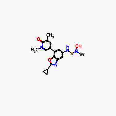 Cc1cc(-c2cc(NSN(O)C(C)C)cc3nc(C4CC4)oc23)cn(C)c1=O